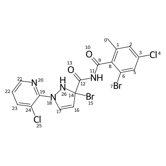 Cc1cc(Cl)cc(Br)c1C(=O)NC(=O)C1(Br)C=CN(c2ncccc2Cl)N1